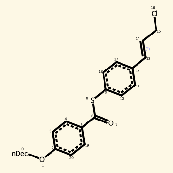 CCCCCCCCCCOc1ccc(C(=O)Sc2ccc(/C=C/CCl)cc2)cc1